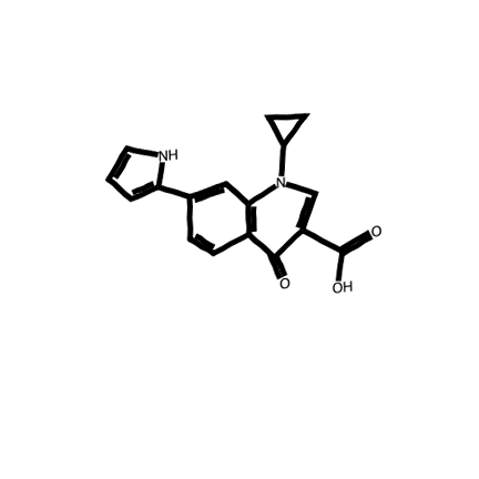 O=C(O)c1cn(C2CC2)c2cc(-c3ccc[nH]3)ccc2c1=O